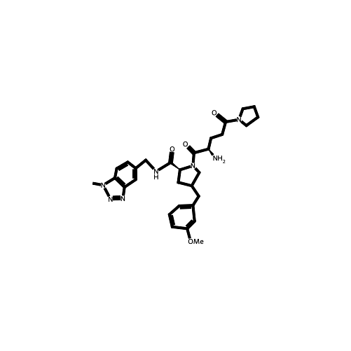 COc1cccc(CC2C[C@@H](C(=O)NCc3ccc4c(c3)nnn4C)N(C(=O)[C@H](N)CCC(=O)N3CCCC3)C2)c1